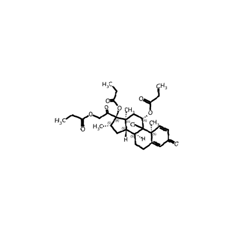 CCC(=O)OCC(=O)[C@@]1(OC(=O)CC)[C@@H](C)C[C@H]2[C@@H]3CCC4=CC(=O)C=C[C@]4(C)C3(Cl)[C@@H](OC(=O)CC)C[C@@]21C